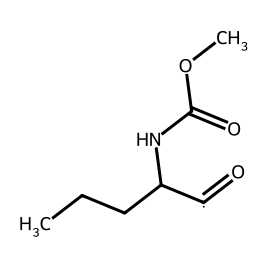 CCCC([C]=O)NC(=O)OC